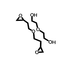 C(CC1CO1)OCCC1CO1.OCCOCCO